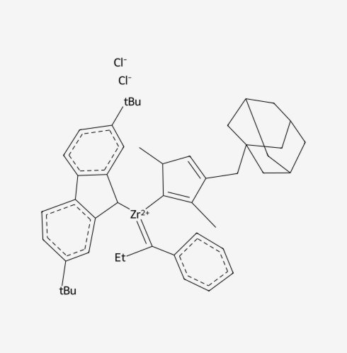 CC/[C](c1ccccc1)=[Zr+2](/[C]1=C(C)C(CC23CC4CC(CC(C4)C2)C3)=CC1C)[CH]1c2cc(C(C)(C)C)ccc2-c2ccc(C(C)(C)C)cc21.[Cl-].[Cl-]